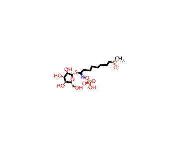 C[S+]([O-])CCCCCCCC(=NOS(=O)(=O)O)S[C@@H]1O[C@H](CO)[C@@H](O)[C@H](O)[C@H]1O